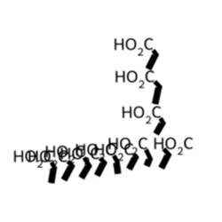 C=CC(=O)O.C=CC(=O)O.C=CC(=O)O.C=CC(=O)O.C=CC(=O)O.C=CC(=O)O.C=CC(=O)O.C=CC(=O)O.C=CC(=O)O.C=CC(=O)O.C=CC(=O)O